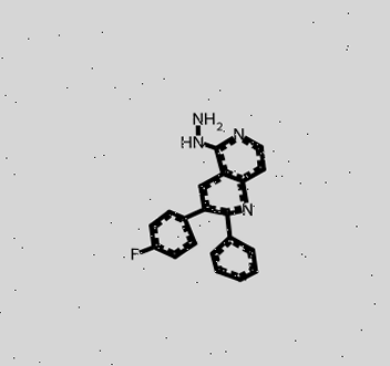 NNc1nccc2nc(-c3cc[c]cc3)c(-c3ccc(F)cc3)cc12